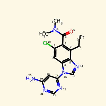 CC(C)Cc1c(C(=O)N(C)C)c(Cl)cc2c1ncn2-c1cc(N)ncn1